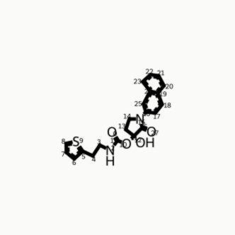 O=C(NCCc1cccs1)O[C@]1(O)CCN(c2ccc3ccccc3c2)C1=O